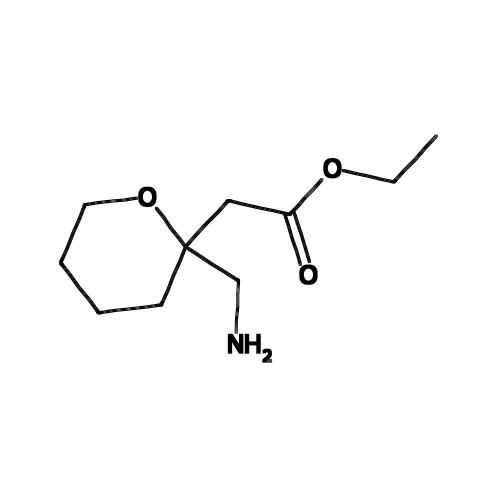 CCOC(=O)CC1(CN)CCCCO1